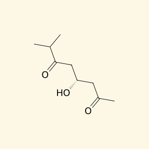 CC(=O)C[C@H](O)CC(=O)C(C)C